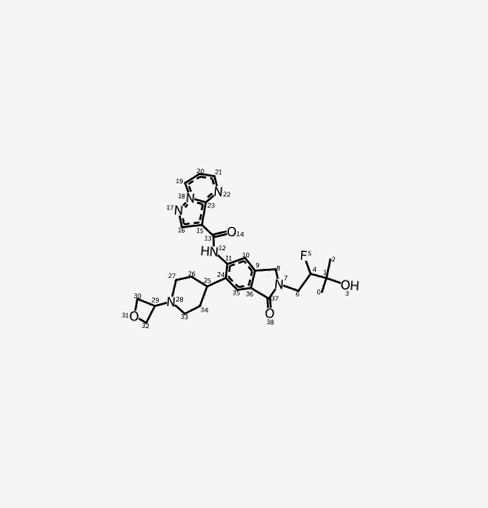 CC(C)(O)C(F)CN1Cc2cc(NC(=O)c3cnn4cccnc34)c(C3CCN(C4COC4)CC3)cc2C1=O